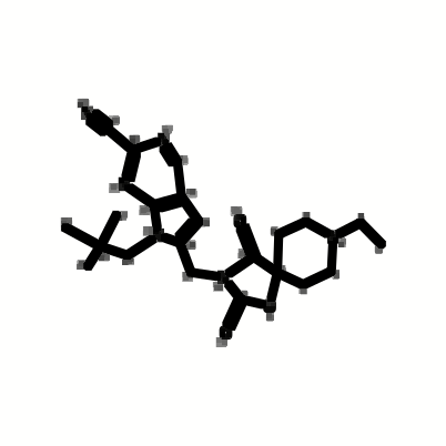 CCN1CCC2(CC1)OC(=O)N(Cc1cc3cnc(C#N)nc3n1CC(C)(C)C)C2=O